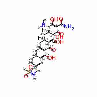 CN(C)[C@@H]1C(O)=C(C(N)=O)C(=O)[C@@]2(O)C(O)=C3C(=O)c4c(cc5ccc(CN(C)S(C)(=O)=O)cc5c4O)C[C@H]3C[C@@H]12